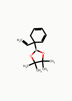 C=CC1(B2OC(C)(C)C(C)(C)O2)C=CC=CC1